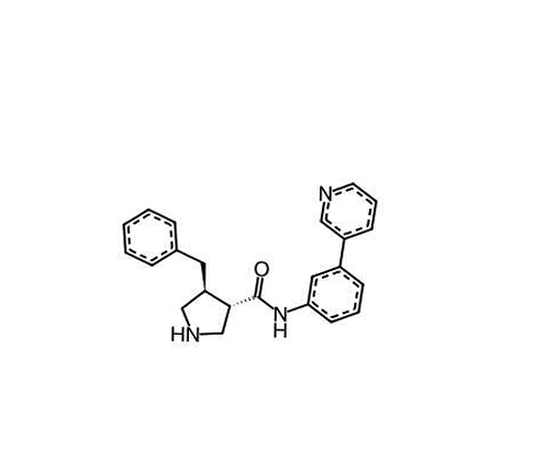 O=C(Nc1cccc(-c2cccnc2)c1)[C@@H]1CNC[C@H]1Cc1ccccc1